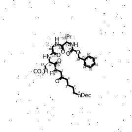 CCCCCCCCCCCCCCC(=O)CC(F)C(=O)[C@H](CC(=O)O)NC(=O)[C@H](C)NC(=O)[C@@H](NC(=O)OCc1ccccc1)C(C)C